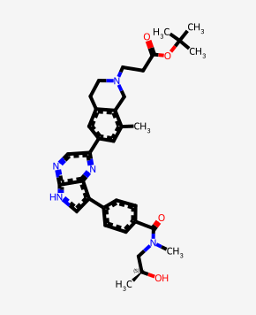 Cc1cc(-c2cnc3[nH]cc(-c4ccc(C(=O)N(C)C[C@H](C)O)cc4)c3n2)cc2c1CN(CCC(=O)OC(C)(C)C)CC2